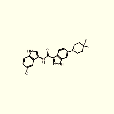 O=C(Nc1c[nH]c2ccc(Cl)cc12)c1n[nH]c2cc(N3CCC(F)(F)CC3)ccc12